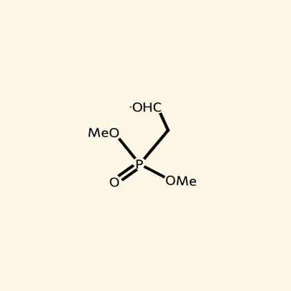 COP(=O)(C[C]=O)OC